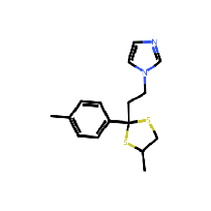 Cc1ccc(C2(CCn3ccnc3)SCC(C)S2)cc1